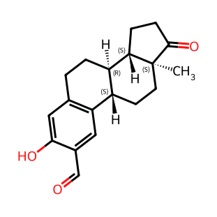 C[C@]12CC[C@@H]3c4cc(C=O)c(O)cc4CC[C@H]3[C@@H]1CCC2=O